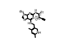 C#C[C@@H](O)[C@H](CC)NC1=NC2C(N=CN2C(C)CC)C(NCC2=C(C)C=C(C)NC2)=N1